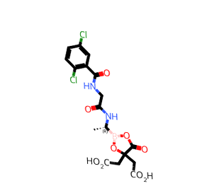 C[C@H](NC(=O)CNC(=O)c1cc(Cl)ccc1Cl)B1OC(=O)C(CC(=O)O)(CC(=O)O)O1